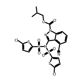 CC(C)COC(=O)n1nc(N(S(=O)(=O)c2ccc(Cl)s2)S(=O)(=O)c2ccc(Cl)s2)c2c(C#N)cccc21